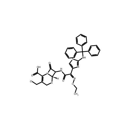 CCO/N=C(\C(=O)NC1C(=O)N2C(C(=O)O)=C(CCl)CS[C@@H]12)c1csc(NC(c2ccccc2)(c2ccccc2)c2ccccc2)n1